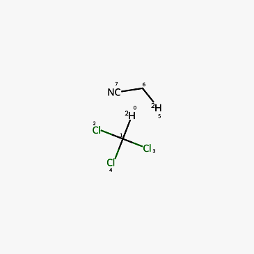 [2H]C(Cl)(Cl)Cl.[2H]CC#N